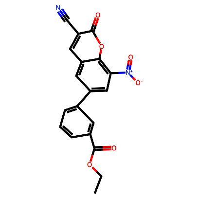 CCOC(=O)c1cccc(-c2cc([N+](=O)[O-])c3oc(=O)c(C#N)cc3c2)c1